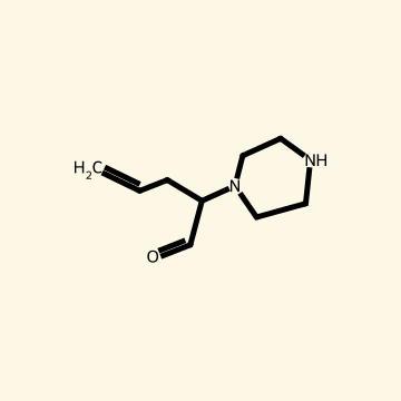 C=CCC(C=O)N1CCNCC1